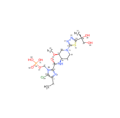 CCc1nc(C(=O)N[C@@H]2CCN(c3nnc([C@](C)(O)CO)s3)C[C@@H]2OC)n(COP(=O)(O)O)c1Cl